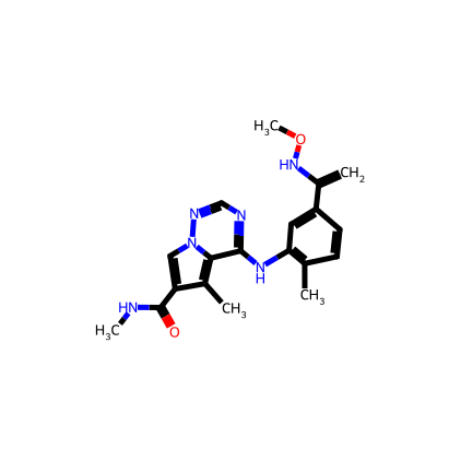 C=C(NOC)c1ccc(C)c(Nc2ncnn3cc(C(=O)NC)c(C)c23)c1